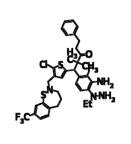 CCN(N)c1ccc(C(c2cc(CN3CCCc4ccc(C(F)(F)F)cc4S3)c(Cl)s2)C(C)(C)C(=O)CCc2ccccc2)c(F)c1N